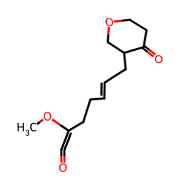 COC(=C=O)CCC=CCC1COCCC1=O